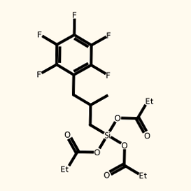 CCC(=O)O[Si](CC(C)Cc1c(F)c(F)c(F)c(F)c1F)(OC(=O)CC)OC(=O)CC